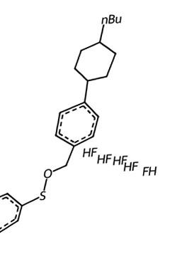 CCCCC1CCC(c2ccc(COSc3ccccc3)cc2)CC1.F.F.F.F.F